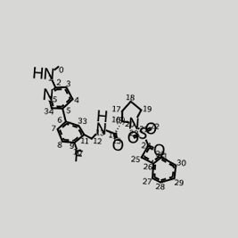 CNc1ccc(-c2ccc(F)c(CNC(=O)[C@@H]3CCCN3S(=O)(=O)c3cc4ccccc4o3)c2)cn1